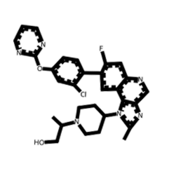 Cc1nc2cnc3cc(F)c(-c4ccc(Oc5ncccn5)cc4Cl)cc3c2n1C1CCN(C(C)CO)CC1